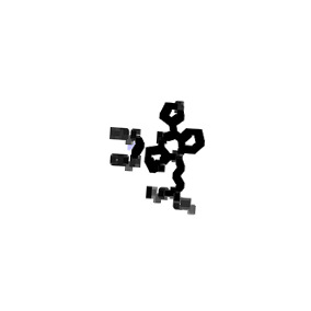 CN(C)CCCN1c2ccccc2C(c2ccsc2)=Nc2cccnc21.O=C(O)/C=C/C(=O)O